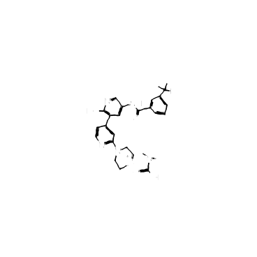 Cc1ncc(NC(=O)c2cccc(C(F)(F)F)c2)cc1-c1ccnc(N2CCO[C@@H](CN(C)C(=O)O)C2)c1